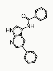 O=C(Nc1c[nH]c2ncc(-c3ccccc3)cc12)c1ccccc1